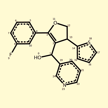 OC(C1=C(c2cccc(F)c2)OCC1c1cccs1)c1cccnc1